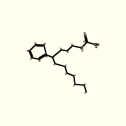 CCCCCCCC(CCCOC(=O)O)c1ccccc1